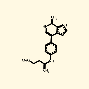 C=C(CCOC)Nc1ccc(C2=CNC(=C)c3[nH]ccc32)cc1